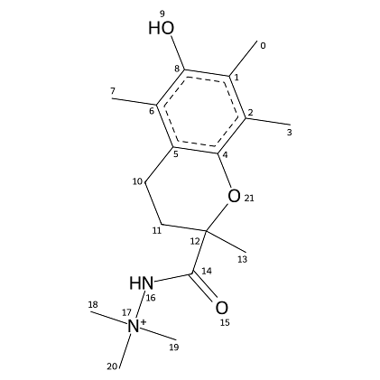 Cc1c(C)c2c(c(C)c1O)CCC(C)(C(=O)N[N+](C)(C)C)O2